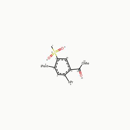 CCCc1cc(C(C)CCC)c(S(C)(=O)=O)cc1C(=O)OC